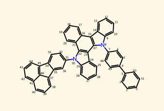 c1ccc(-c2ccc(-n3c4ccccc4c4c5ccccc5c5c(c6ccccc6n5-c5ccc6c(c5)-c5cccc7cccc-6c57)c43)cc2)cc1